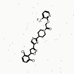 O=C(COc1ncccc1C(F)(F)F)N1CCC(c2nc(C3=NOC(c4c(Cl)cccc4Cl)C3)cs2)CC1